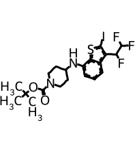 CC(C)(C)OC(=O)N1CCC(Nc2cccc3c(C(F)C(F)F)c(I)sc23)CC1